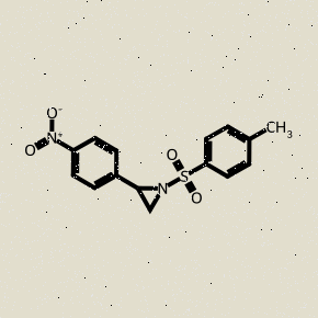 Cc1ccc(S(=O)(=O)N2CC2c2ccc([N+](=O)[O-])cc2)cc1